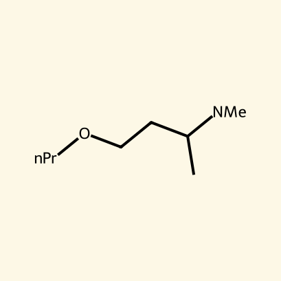 CCCOCCC(C)NC